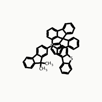 CC1(C)c2ccccc2-c2ccc(N(c3ccc4sc5ccccc5c4c3)c3cccc4c3C3(c5ccccc5-c5ccccc53)c3ccccc3-4)cc21